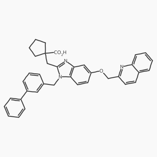 O=C(O)C1(Cc2nc3cc(OCc4ccc5ccccc5n4)ccc3n2Cc2cccc(-c3ccccc3)c2)CCCC1